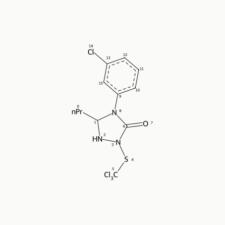 CCCC1NN(SC(Cl)(Cl)Cl)C(=O)N1c1cccc(Cl)c1